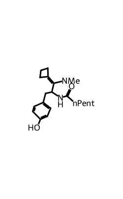 CCCCCC(=O)NC(Cc1ccc(O)cc1)C(NC)=C1CCC1